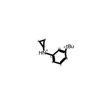 CC(C)(C)c1cccc(NC2CC2)c1